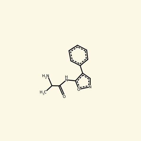 CC(N)C(=O)Nc1oncc1-c1ccccc1